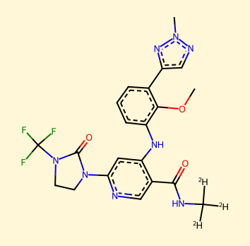 [2H]C([2H])([2H])NC(=O)c1cnc(N2CCN(C(F)(F)F)C2=O)cc1Nc1cccc(-c2cnn(C)n2)c1OC